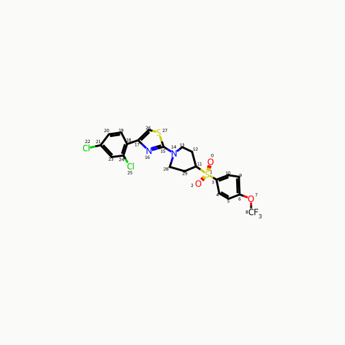 O=S(=O)(c1ccc(OC(F)(F)F)cc1)C1CCN(c2nc(-c3ccc(Cl)cc3Cl)cs2)CC1